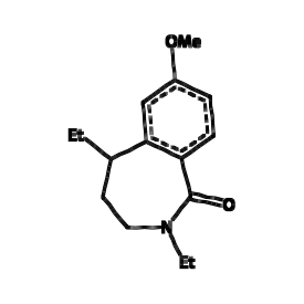 CCC1CCN(CC)C(=O)c2ccc(OC)cc21